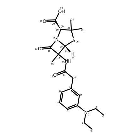 CCN(CC)c1cccc(CC(=O)NC2(C)C(=O)N3[C@@H](C(=O)O)C(C)(C)S[C@@H]32)c1